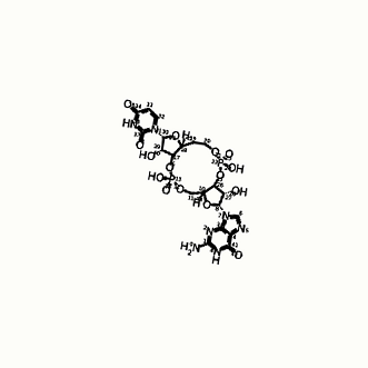 Nc1nc2c(ncn2[C@@H]2O[C@@H]3COP(=O)(O)OC4[C@@H](CCOP(=O)(O)OC3[C@@H]2O)O[C@@H](n2ccc(=O)[nH]c2=O)[C@H]4O)c(=O)[nH]1